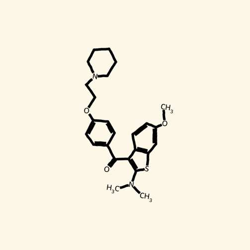 COc1ccc2c(C(=O)c3ccc(OCCN4CCCCC4)cc3)c(N(C)C)sc2c1